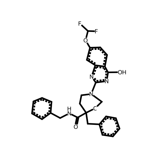 O=C(NCc1ccccc1)C1(Cc2ccccc2)CCN(c2nc(O)c3ccc(OC(F)F)cc3n2)CC1